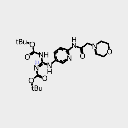 CC(C)(C)OC(=O)/N=C(/NC(=O)OC(C)(C)C)Nc1ccc(NC(=O)CN2CCOCC2)nc1